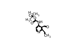 C=Cc1nccc(NC(=O)OC(C)(C)C)c1C=O